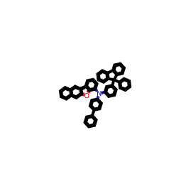 c1ccc(-c2ccc(N(c3cccc(C4(c5ccccc5)c5ccccc5-c5ccccc54)c3)c3cccc4c3oc3cc5ccccc5cc34)cc2)cc1